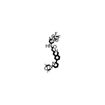 C[C@@H]1CN(c2cccc(-c3ccc4cnc(CC(=O)N[C@H]5C[C@@H](C)N(S(=O)(=O)C(F)F)C5)cc4c3)n2)C[C@H](C)O1